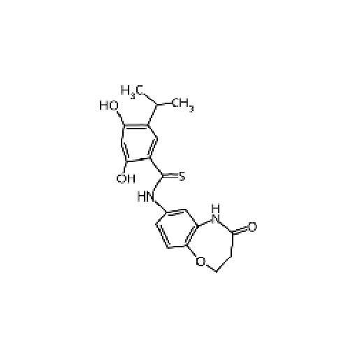 CC(C)c1cc(C(=S)Nc2ccc3c(c2)NC(=O)CCO3)c(O)cc1O